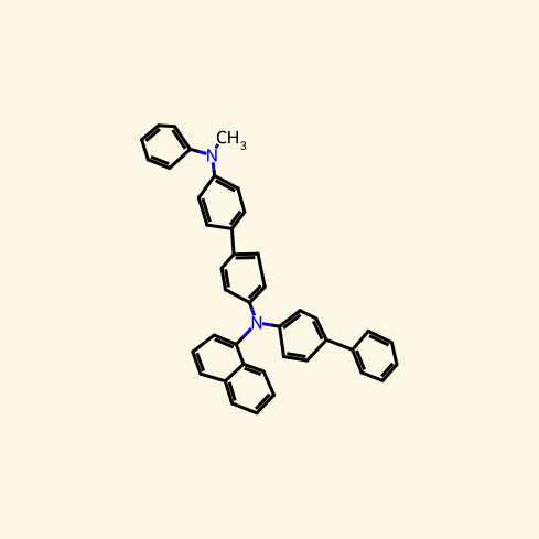 CN(c1ccccc1)c1ccc(-c2ccc(N(c3ccc(-c4ccccc4)cc3)c3cccc4ccccc34)cc2)cc1